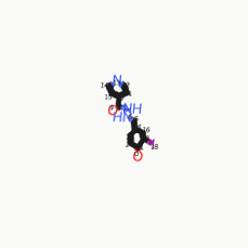 O=C1C=C/C(=C\NNC(=O)c2ccncc2)C=C1I